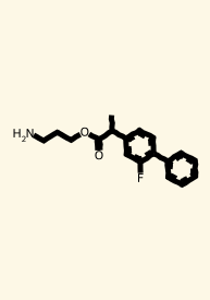 CC(C(=O)OCCCN)c1ccc(-c2ccccc2)c(F)c1